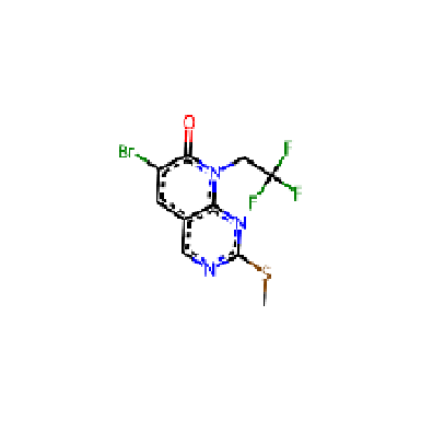 CSc1ncc2cc(Br)c(=O)n(CC(F)(F)F)c2n1